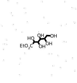 CCOC(=O)C(O)C(O)C(O)C(O)CO